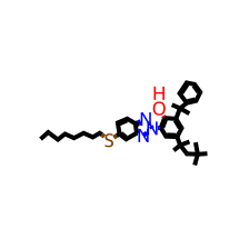 CCCCCCCCSc1ccc2nn(-c3cc(C(C)(C)CC(C)(C)C)cc(C(C)(C)c4ccccc4)c3O)nc2c1